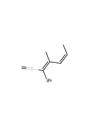 C=B/C(=C(C)/C=C\C)C(C)C